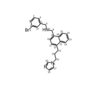 Brc1cccc(CNCc2ccc(CCCn3ccnc3)c3ccccc23)c1